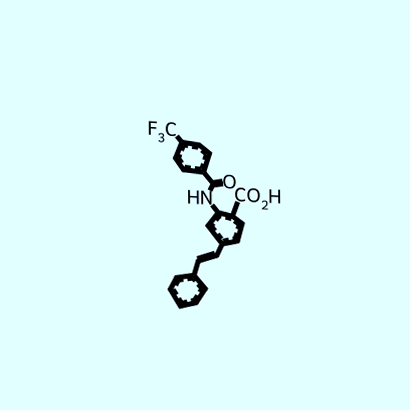 O=C(Nc1cc(C=Cc2ccccc2)ccc1C(=O)O)c1ccc(C(F)(F)F)cc1